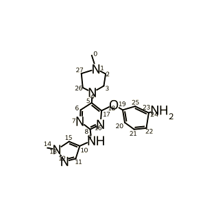 CN1CCN(c2cnc(Nc3cnn(C)c3)nc2Oc2cccc(N)c2)CC1